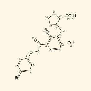 O=C(COc1ccc(Br)cc1)c1ccc(O)c(CN2CCC[C@@H]2C(=O)O)c1O